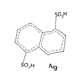 O=S(=O)(O)c1cccc2c(S(=O)(=O)O)cccc12.[Ag]